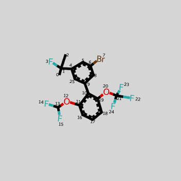 CC(C)(F)c1cc(Br)cc(-c2c(OC(F)F)c[c]cc2OC(F)(F)F)c1